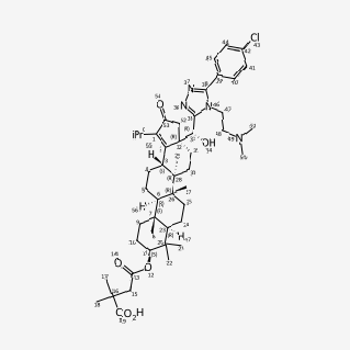 CC(C)C1=C2[C@H]3CC[C@@H]4[C@@]5(C)CC[C@H](OC(=O)CC(C)(C)C(=O)O)C(C)(C)[C@@H]5CC[C@@]4(C)[C@]3(C)CC[C@@]2([C@@H](O)c2nnc(-c3ccc(Cl)cc3)n2CCN(C)C)CC1=O